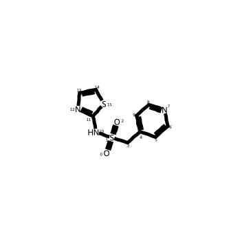 O=S(=O)(Cc1ccncc1)Nc1nccs1